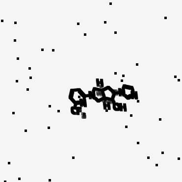 O[C@H]1[C@H]2CN(c3cccc(C(F)(F)F)n3)C[C@H]2C[C@H]1n1ccnc1